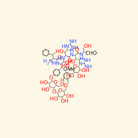 COc1ccc(COCC2OC(OC3C(CO)OC(Oc4ccc(CC(NC(=O)C(N)C(C)c5ccccc5)C(=O)NC(C(=O)NC(C(=O)NC([C]=O)CO)C(O)C5CNC(=N)N5C5OC(CO)C(O)C(O)C5O)C(O)C5CNC(=N)N5)cc4)C(O)C3O)C(O)C(O)C2O)cc1